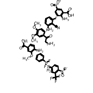 COc1cc(C(=O)O)ccc1N.COc1ccc(C(=O)CN)cc1OC.FN(F)c1ccccc1.N#Cc1c(N)cccc1F.Nc1ccc([N+](=O)[O-])c(C(F)(F)F)c1.Nc1ccc([N+](=O)[O-])cc1C(=O)O